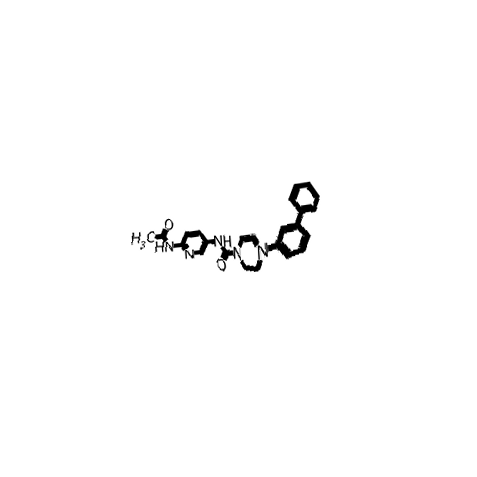 CC(=O)Nc1ccc(NC(=O)N2CCN(c3cccc(-c4ccccc4)c3)CC2)cn1